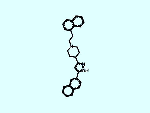 c1ccc2cc(-c3cc(C4CCN(CCc5cccc6ccccc56)CC4)n[nH]3)ccc2c1